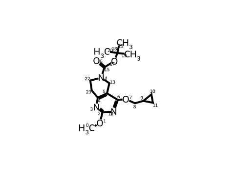 COc1nc2c(c(OCC3CC3)n1)CN(C(=O)OC(C)(C)C)CC2